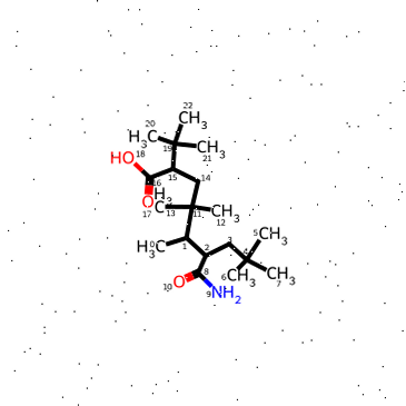 CC(C(CC(C)(C)C)C(N)=O)C(C)(C)CC(C(=O)O)C(C)(C)C